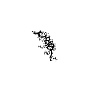 CCC[C@@]1(O)CC[C@@]2(CC)[C@H](CC[C@@H]3[C@@H]2CC[C@]2(C)C([C@H](C)Cn4cc(C#N)cn4)CC[C@@H]32)C1